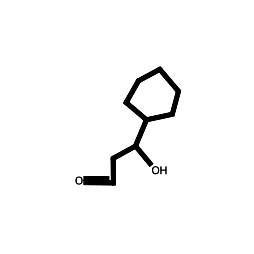 O=CCC(O)C1CCCCC1